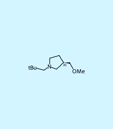 COC[C@@H]1CCN(CC(C)(C)C)C1